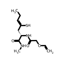 C=COCC(=O)N[C@@H](C/C(S)=C/CC)C(=O)NC